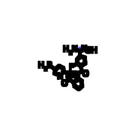 Bc1ccc(NC(=O)c2ccccc2NC(=O)c2ccc(/C(N)=N\O)cc2F)nc1